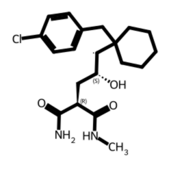 CNC(=O)[C@H](C[C@@H](O)[CH]C1(Cc2ccc(Cl)cc2)CCCCC1)C(N)=O